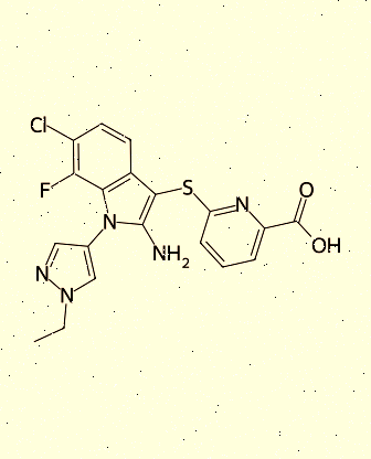 CCn1cc(-n2c(N)c(Sc3cccc(C(=O)O)n3)c3ccc(Cl)c(F)c32)cn1